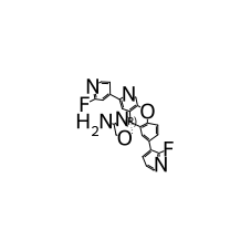 NC1=N[C@]2(COC1)c1cc(-c3cccnc3F)ccc1Oc1cnc(-c3ccnc(F)c3)cc12